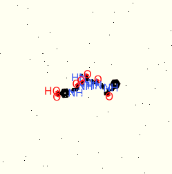 CNC(=O)[C@H](CCC(=O)NCCN[C@@H](Cc1ccccc1)C(C)=O)NC(=O)NC(=O)CCNc1ccc(C(=O)O)cc1